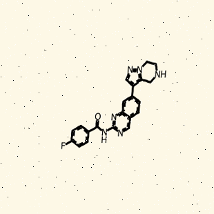 O=C(Nc1ncc2ccc(-c3cnn4c3CNCC4)cc2n1)c1ccc(F)cc1